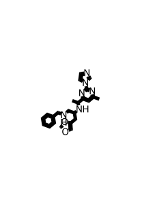 Cc1cc(C(C)NC(CNCc2ccccc2)CC2=COCO2)nc(-n2ccnc2)n1